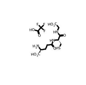 N[C@@H](CCC(=O)N[C@@H](CS)C(=O)NCC(=O)O)C(=O)O.O=C(O)C(F)(F)F